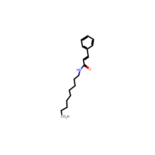 O=C(O)CCCCCCCCNC(=O)C=Cc1ccccc1